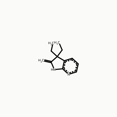 C=C1Nc2ncccc2C1(CC)CC